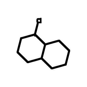 Cl[C]1CCCC2CCCCC12